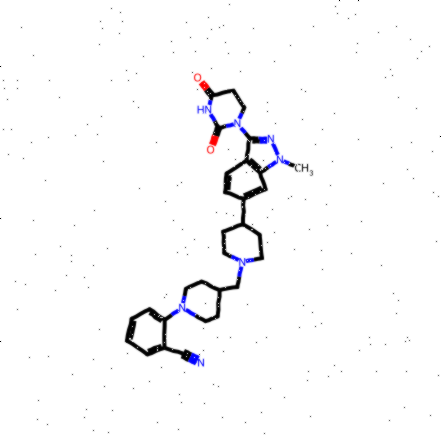 Cn1nc(N2CCC(=O)NC2=O)c2ccc(C3CCN(CC4CCN(c5ccccc5C#N)CC4)CC3)cc21